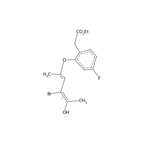 CCOC(=O)Cc1ccc(F)cc1OC(C)=C/C(Br)=C(\C)O